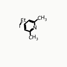 CCI.Cc1cccc(C)n1